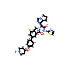 O=C(Nc1nccs1)C(c1ncn2c1CCC2)N1Cc2c(F)cc(-c3ccc(OC4CCNCC4)cc3)cc2C1=O